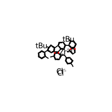 Cc1ccc([C](c2ccc(C)cc2)=[Zr+2]([C]2=CC=CC2)[c]2c3c(cc(C(C)(C)C)c2-c2ccccc2C)-c2cc(C(C)(C)C)c(-c4ccccc4C)cc2C3)cc1.[Cl-].[Cl-]